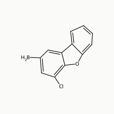 Bc1cc(Cl)c2oc3ccccc3c2c1